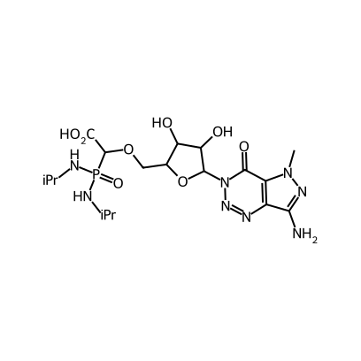 CC(C)NP(=O)(NC(C)C)C(OCC1OC(n2nnc3c(N)nn(C)c3c2=O)C(O)C1O)C(=O)O